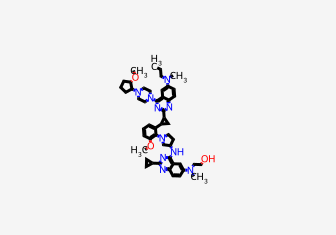 CCCN(C)c1ccc2nc(C3CC3c3cccc(OC)c3N3CCC(Nc4nc(C5CC5)nc5ccc(N(C)CCO)cc45)C3)nc(N3CCN(C4CCCC4OC)CC3)c2c1